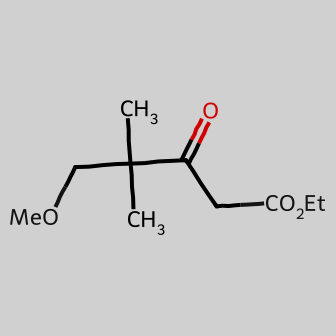 CCOC(=O)CC(=O)C(C)(C)COC